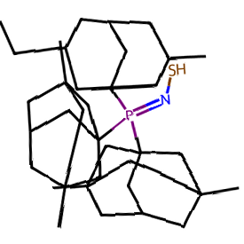 CCC1CC2CC(C)CC(P(=NS)(C34CC5CC(C)(CC(C)(C5)C3)C4)C34CC5CC(C)(CC(C)(C5)C3)C4)(C1)C2